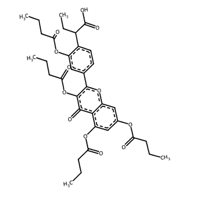 CCCC(=O)Oc1cc(OC(=O)CCC)c2c(=O)c(OC(=O)CCC)c(-c3ccc(C(CC)C(=O)O)c(OC(=O)CCC)c3)oc2c1